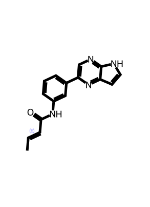 C/C=C/C(=O)Nc1cccc(-c2cnc3[nH]ccc3n2)c1